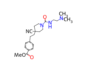 COC(=O)c1ccc(CCC2(C#N)CCN(C(=O)NCCN(C)C)CC2)cc1